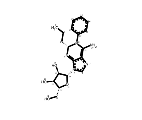 CCC[C@H]1N=c2c(ncn2[C@@H]2O[C@H](CO)[C@@H](O)[C@H]2O)=C(N)N1c1ccccc1